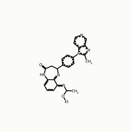 CCOC(C)N=C1C=CC=C2NC(=O)CC(c3ccc(-n4c(C)nc5cnccc54)cc3)N=C21